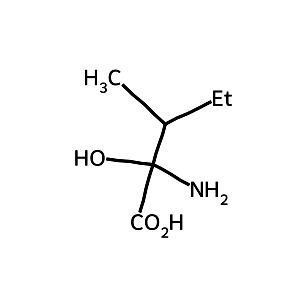 CCC(C)C(N)(O)C(=O)O